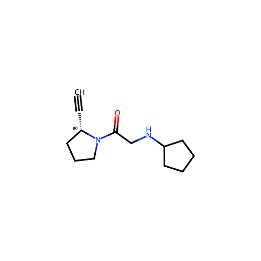 C#C[C@H]1CCCN1C(=O)CNC1CCCC1